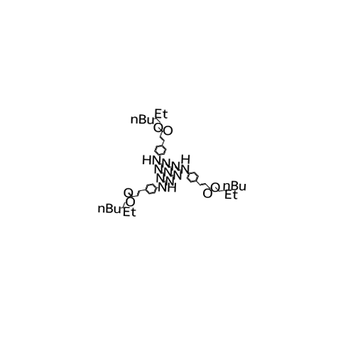 CCCCC(CC)COC(=O)/C=C/c1ccc(NC2=NC3=NC(Nc4ccc(/C=C/C(=O)OCC(CC)CCCC)cc4)=NC4=NC(Nc5ccc(/C=C/C(=O)OCC(CC)CCCC)cc5)=NC(=N2)N34)cc1